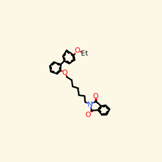 CCOc1ccc(-c2ccccc2OCCCCCCCN2C(=O)c3ccccc3C2=O)cc1